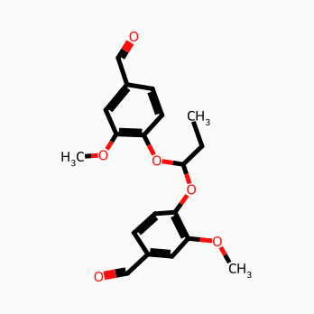 CCC(Oc1ccc(C=O)cc1OC)Oc1ccc(C=O)cc1OC